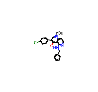 CCCCn1cc(-c2ccc(Cl)cc2)c(=O)c2c(NCc3ccccc3)nccc21